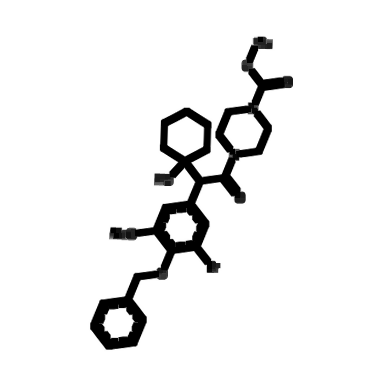 COc1cc(C(C(=O)N2CCN(C(=O)OC(C)(C)C)CC2)C2(O)CCCCC2)cc(Br)c1OCc1ccccc1